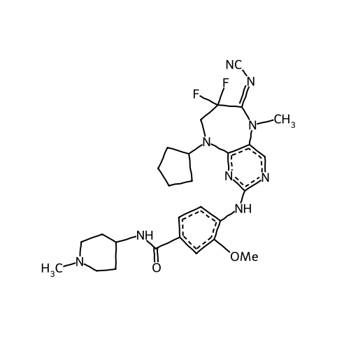 COc1cc(C(=O)NC2CCN(C)CC2)ccc1Nc1ncc2c(n1)N(C1CCCC1)CC(F)(F)/C(=N\C#N)N2C